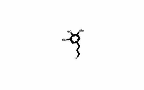 CC(C)(C)c1cc(CCCBr)cc(C(C)(C)C)c1O